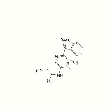 CCC(CO)Nc1cnc(Nc2ccccc2OC)c(C#N)c1C